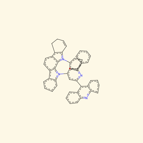 C1=Cc2c(c3ccc4c5ccccc5n(-c5cc(-c6ccccc6)nc(-c6c7ccccc7nc7ccccc67)c5)c4c3n2-c2ccccc2)CC1